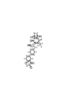 C=C(OC(C)(C)C)N1[C@@H]2CC[C@@H](C2)[C@H]1C(=O)N[C@H](C#N)Cc1ccc(-c2ccc3c(c2)NC(=O)CO3)cc1